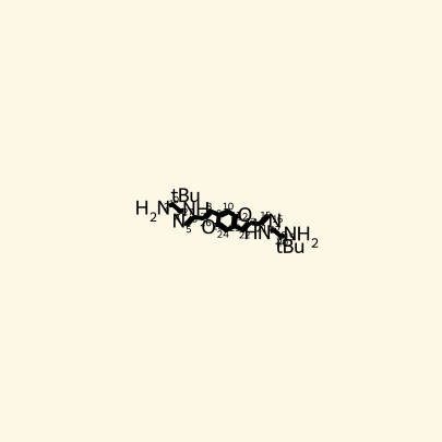 CC(C)(C)[C@H](N)c1ncc(-c2cc3cc4oc(-c5cnc([C@@H](N)C(C)(C)C)[nH]5)cc4cc3o2)[nH]1